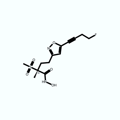 C[C@@](CCc1cc(C#CCCF)on1)(C(=O)NO)S(C)(=O)=O